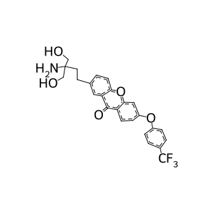 NC(CO)(CO)CCc1ccc2oc3cc(Oc4ccc(C(F)(F)F)cc4)ccc3c(=O)c2c1